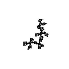 CC[P+](CC)(CC)CC.CC[P+](CC)(CC)CC.CC[P+](CC)(CC)CC.[O-]B([O-])[O-]